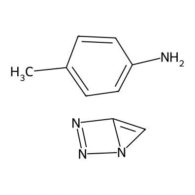 Cc1ccc(N)cc1.c1c2nnn1-2